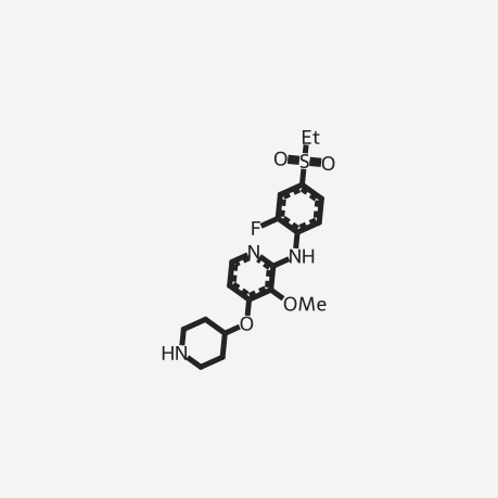 CCS(=O)(=O)c1ccc(Nc2nccc(OC3CCNCC3)c2OC)c(F)c1